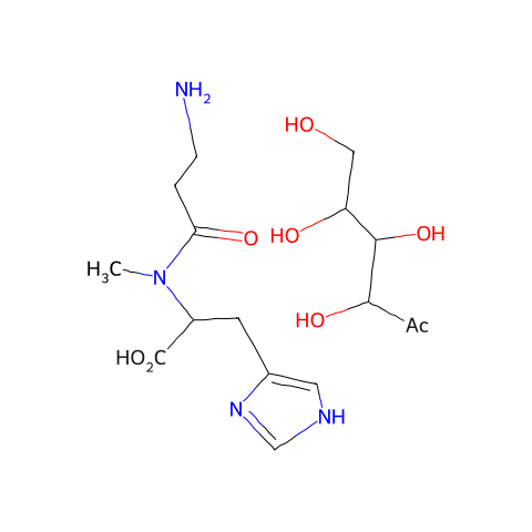 CC(=O)C(O)C(O)C(O)CO.CN(C(=O)CCN)C(Cc1c[nH]cn1)C(=O)O